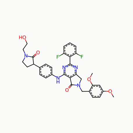 COc1ccc(CN2Cc3nc(-c4c(F)cccc4F)nc(Nc4ccc(C5CCN(CCO)C5=O)cc4)c3C2=O)c(OC)c1